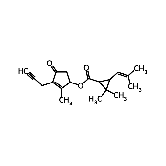 C#CCC1=C(C)C(OC(=O)C2C(C=C(C)C)C2(C)C)CC1=O